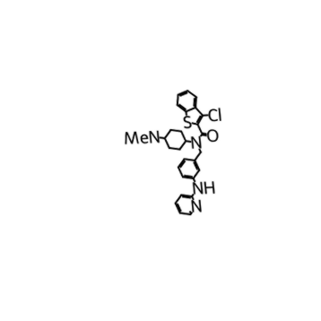 CNC1CCC(N(Cc2cccc(Nc3ccccn3)c2)C(=O)c2sc3ccccc3c2Cl)CC1